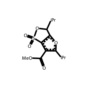 COC(=O)c1c(C(C)C)oc2c1S(=O)(=O)OC2C(C)C